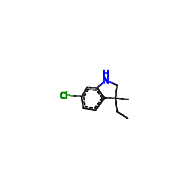 CCC1(C)CNc2cc(Cl)ccc21